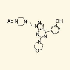 CC(=O)N1CCN(CCn2ncc3c(-c4cccc(O)c4)nc(N4CCOCC4)nc32)CC1